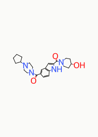 O=C(c1ccc2[nH]c(C(=O)N3CCC(O)CC3)cc2c1)N1CCN(C2CCCC2)CC1